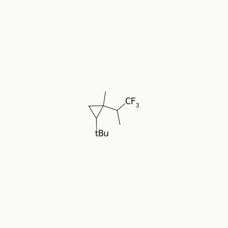 CC(C(F)(F)F)C1(C)CC1C(C)(C)C